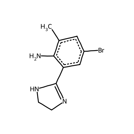 Cc1cc(Br)cc(C2=NCCN2)c1N